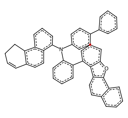 C1=Cc2ccc3c(N(c4ccc(-c5ccccc5)cc4)c4ccccc4-c4cccc5oc6c7ccccc7ccc6c45)cccc3c2CC1